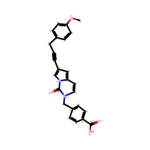 COc1ccc(CC#Cc2cc3ccn(Cc4ccc(C(=O)O)cc4)c(=O)n3c2)cc1